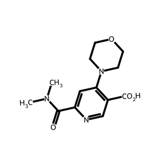 CN(C)C(=O)c1cc(N2CCOCC2)c(C(=O)O)cn1